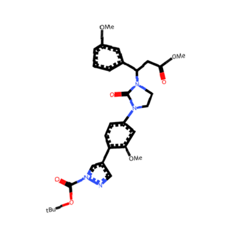 COC(=O)CC(c1cccc(OC)c1)N1CCN(c2ccc(-c3cnn(C(=O)OC(C)(C)C)c3)c(OC)c2)C1=O